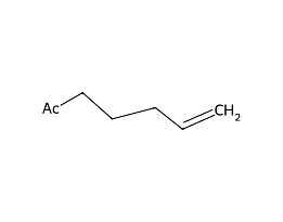 [CH2]C(=O)CCCC=C